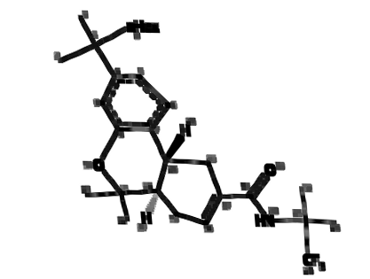 CCCCCCC(C)(C)c1ccc2c(c1)OC(C)(C)[C@@H]1CC=C(C(=O)NC(C)(C)C(F)(F)F)C[C@@H]21